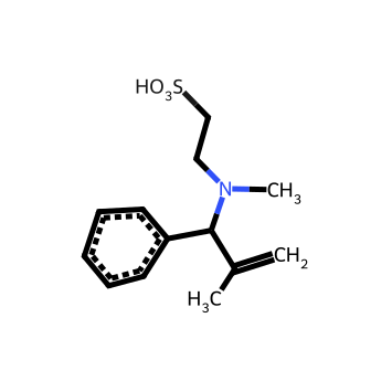 C=C(C)C(c1ccccc1)N(C)CCS(=O)(=O)O